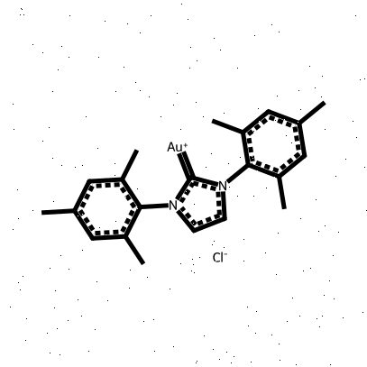 Cc1cc(C)c(-n2ccn(-c3c(C)cc(C)cc3C)[c]2=[Au+])c(C)c1.[Cl-]